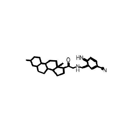 CC1CCC2C(CCC3C2CCC2(C)C(C(=O)CN/C=C4/C=C(C#N)C=CC4=N)CCC32)C1